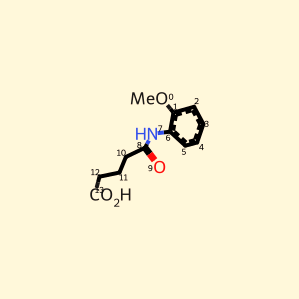 COc1ccccc1NC(=O)CCCC(=O)O